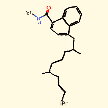 CCNC(=O)c1ccc(CC(C)CCCC(C)CCCC(C)C)c2ccccc12